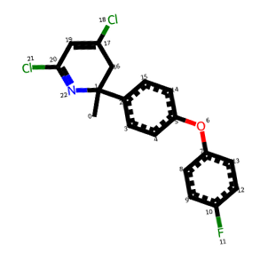 CC1(c2ccc(Oc3ccc(F)cc3)cc2)CC(Cl)=CC(Cl)=N1